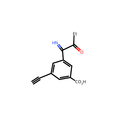 C#Cc1cc(C(=N)C(=O)CC)cc(C(=O)O)c1